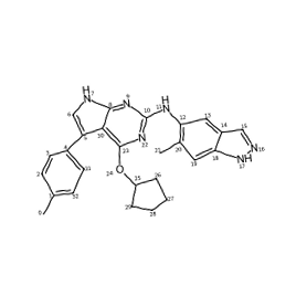 Cc1ccc(-c2c[nH]c3nc(Nc4cc5cn[nH]c5cc4C)nc(OC4CCCC4)c23)cc1